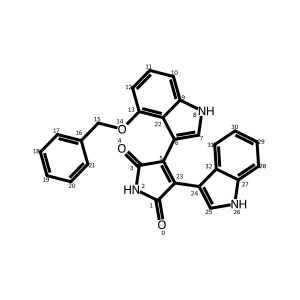 O=C1NC(=O)C(c2c[nH]c3cccc(OCc4ccccc4)c23)=C1c1c[nH]c2ccccc12